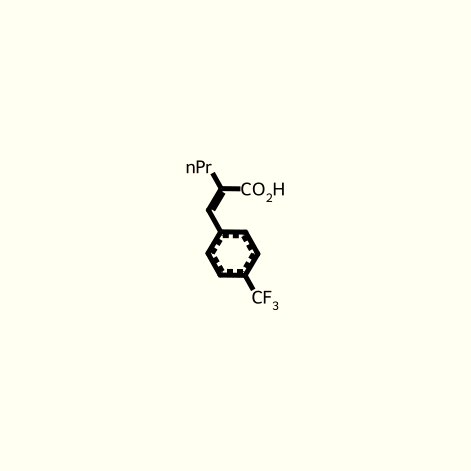 CCCC(=Cc1ccc(C(F)(F)F)cc1)C(=O)O